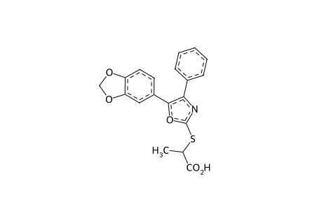 CC(Sc1nc(-c2ccccc2)c(-c2ccc3c(c2)OCO3)o1)C(=O)O